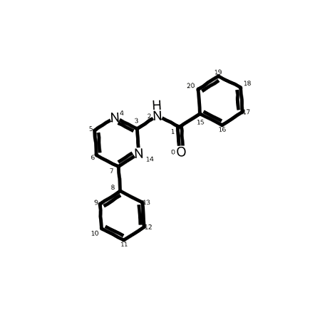 O=C(Nc1nccc(-c2ccccc2)n1)c1ccccc1